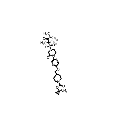 CN(C)C(=O)C(C)(C)S(=O)(=O)N1CCN(c2cnc(OCC3CCN(C(=O)OC4(C)CC4)CC3)cn2)C(=O)C1